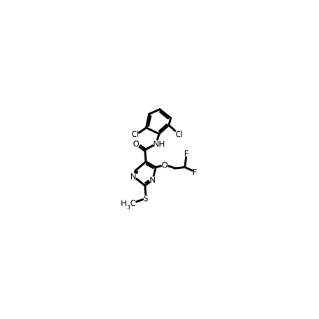 CSc1ncc(C(=O)Nc2c(Cl)cccc2Cl)c(OCC(F)F)n1